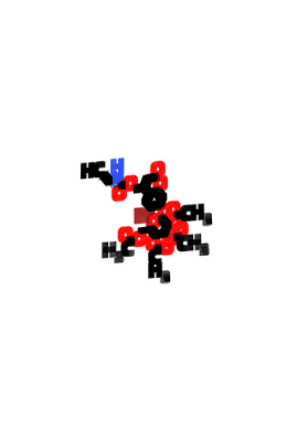 C#CCNC(=O)OCc1cc(=O)oc2cc(O[C@@H]3O[C@H](COC(C)=O)[C@H](OC(C)=O)[C@H](OC(C)=O)[C@H]3OC(C)=O)c(Br)cc12